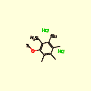 Cc1c(C)c([O][Ti])c([SiH3])c(C(C)(C)C)c1C.Cl.Cl